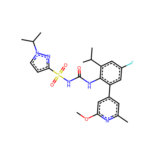 COc1cc(-c2cc(F)cc(C(C)C)c2NC(=O)NS(=O)(=O)c2ccn(C(C)C)n2)cc(C)n1